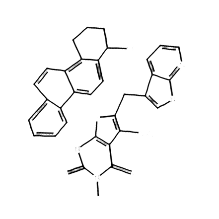 CCC1CCCc2c1ccc1c2ccc2ccccc21.Cn1c(=O)[nH]c2sc(Cc3c[nH]c4ncccc34)c(C(=O)O)c2c1=O